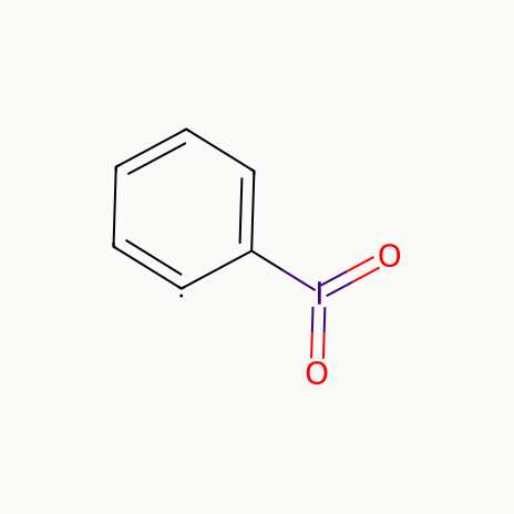 O=I(=O)c1[c]cccc1